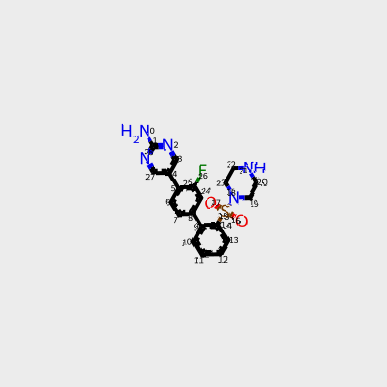 Nc1ncc(-c2ccc(-c3ccccc3S(=O)(=O)N3CCNCC3)cc2F)cn1